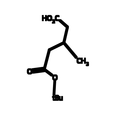 CC(CC(=O)O)CC(=O)OC(C)(C)C